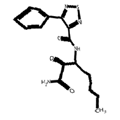 CCCCC(NC(=O)c1nsnc1-c1ccccc1)C(=O)C(N)=O